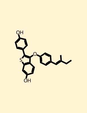 CC/C(C)=C/c1ccc(Oc2c(-c3ccc(O)cc3)sc3cc(O)ccc23)cc1